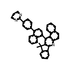 CC1(C)c2ccccc2-c2nc3ccc4ccccc4c3c(-c3ccc(-c4ccc(-c5ncccn5)cc4)c4ccccc34)c21